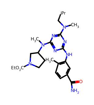 CCOC(=O)N1CCC(N(C)c2nc(Nc3cc(C(N)=O)ccc3C)nc(N(C)CC(C)C)n2)C1